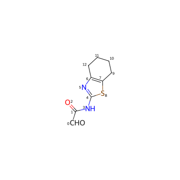 O=CC(=O)Nc1nc2c(s1)CCCC2